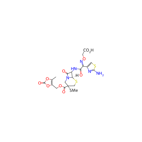 CSC1(C(=O)OCc2oc(=O)oc2C)CS[C@@H]2C(NC(=O)C(=NOCC(=O)O)c3csc(N)n3)C(=O)N2C1